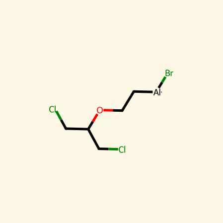 ClCC(CCl)OC[CH2][Al][Br]